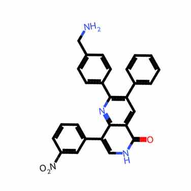 NCc1ccc(-c2nc3c(-c4cccc([N+](=O)[O-])c4)c[nH]c(=O)c3cc2-c2ccccc2)cc1